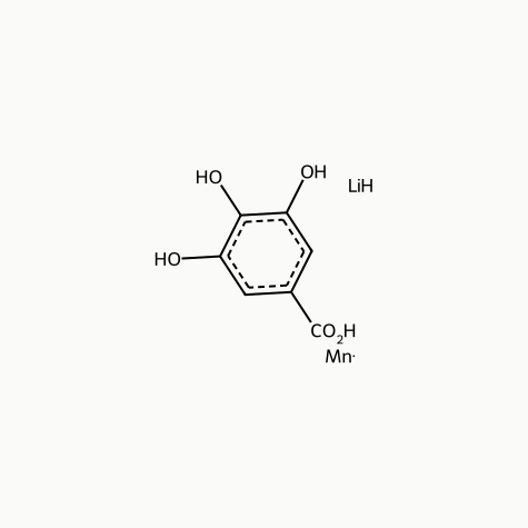 O=C(O)c1cc(O)c(O)c(O)c1.[LiH].[Mn]